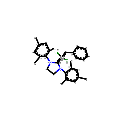 Cc1cc(C)c(N2CCN(c3c(C)cc(C)cc3C)[C]2=[Ru]([Cl])([Cl])=[CH]c2ccccc2)c(C)c1